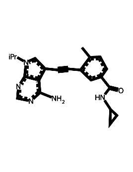 Cc1ccc(C(=O)NC2CC2)cc1C#Cc1cn(C(C)C)c2ncnc(N)c12